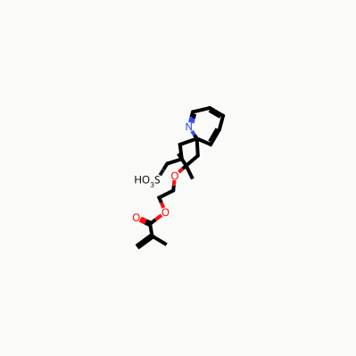 C=C(C)C(=O)OCCOC(C)(C)CC1(CCCS(=O)(=O)O)C=CC=CC=N1